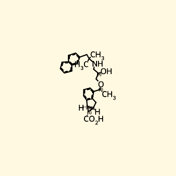 C[C@@H](OC[C@H](O)CNC(C)(C)Cc1ccc2ccccc2c1)c1cccc2c1C[C@H]1[C@H](C(=O)O)[C@@H]21